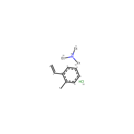 C=Cc1ccccc1C.CCN(CC)CC.Cl